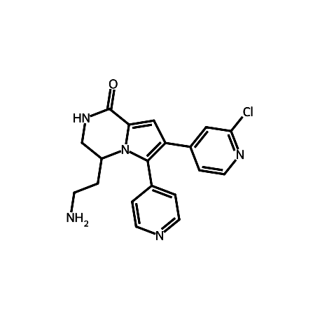 NCCC1CNC(=O)c2cc(-c3ccnc(Cl)c3)c(-c3ccncc3)n21